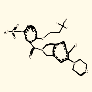 CS(=O)(=O)c1ccc(OCCC(F)(F)F)c(C(=O)N2Cc3cc(Cl)c(N4CCOCC4)cc3C2)c1